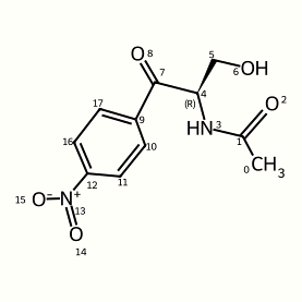 CC(=O)N[C@H](CO)C(=O)c1ccc([N+](=O)[O-])cc1